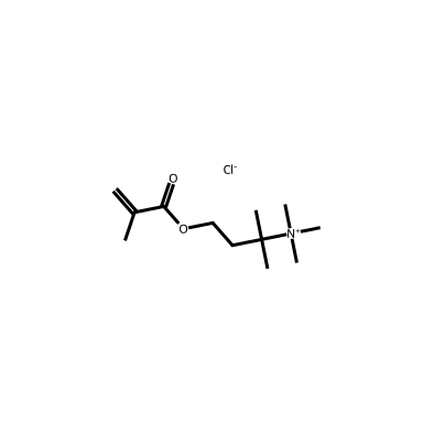 C=C(C)C(=O)OCCC(C)(C)[N+](C)(C)C.[Cl-]